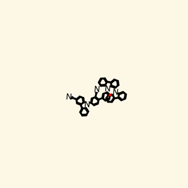 N#Cc1ccc2c(c1)c1ccccc1n2-c1ccc(-c2cccc(-n3c4ccccc4c4cccc(-n5c6ccccc6c6ccccc65)c43)c2)c(C#N)c1